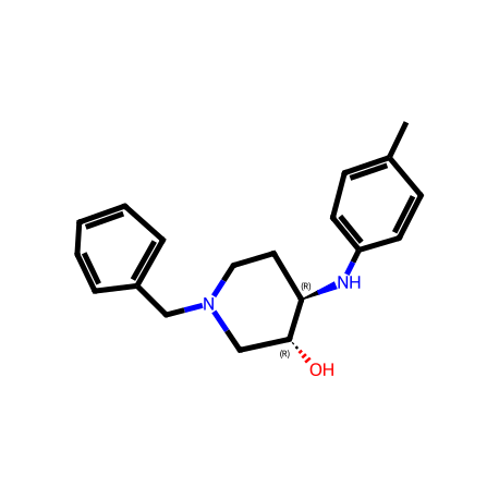 Cc1ccc(N[C@@H]2CCN(Cc3ccccc3)C[C@H]2O)cc1